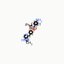 CCOC(=O)[C@H](CC(C)C)N(C(=O)c1ccc(N)cc1)S(=O)(=O)c1ccc(Cc2nccc3[nH]c(C)nc23)cc1